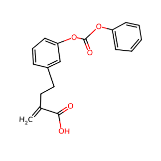 C=C(CCc1cccc(OC(=O)Oc2ccccc2)c1)C(=O)O